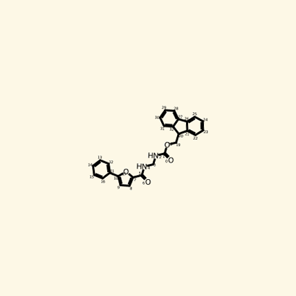 O=C(NCNC(=O)c1ccc(-c2ccccc2)o1)OCC1c2ccccc2-c2ccccc21